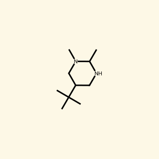 CC1NCC(C(C)(C)C)CN1C